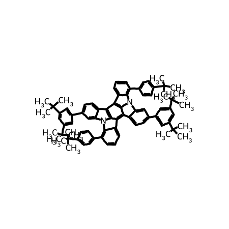 CC(C)(C)c1ccc(-c2cccc3c4c5c6ccc(-c7cc(C(C)(C)C)cc(C(C)(C)C)c7)cc6n6c7c(-c8ccc(C(C)(C)C)cc8)cccc7c(c7c8ccc(-c9cc(C(C)(C)C)cc(C(C)(C)C)c9)cc8n(c23)c74)c56)cc1